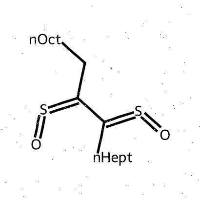 CCCCCCCCCC(=S=O)C(CCCCCCC)=S=O